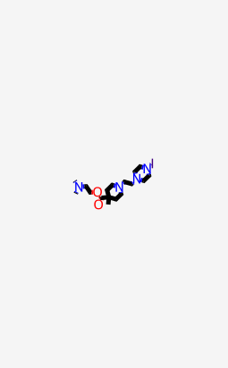 CN(C)CCOC(=O)C1(C)CCN(CCN2CCN(I)CC2)CC1